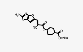 CCCCOC(=O)C1CCC(OC(=O)/C(C#N)=C/c2cc3sc(N)nc3o2)CC1